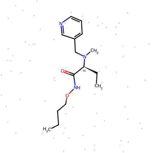 CCCCONC(=O)[C@H](CC)N(C)Cc1cccnc1